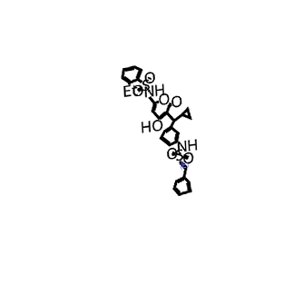 CCc1ccccc1S(=O)(=O)NCc1cc(O)c(C(c2cccc(NS(=O)(=O)/C=C/c3ccccc3)c2)C2CC2)c(=O)o1